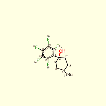 CC(C)(C)[C@H]1CC[C@](O)(c2c(F)c(F)c(F)c(F)c2F)CC1